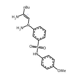 CCCC/C(N)=C/N(N)c1cccc(S(=O)(=O)Nc2ccc(OC)cc2)c1